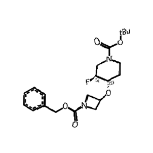 CC(C)(C)OC(=O)N1CC[C@H](OC2CN(C(=O)OCc3ccccc3)C2)[C@@H](F)C1